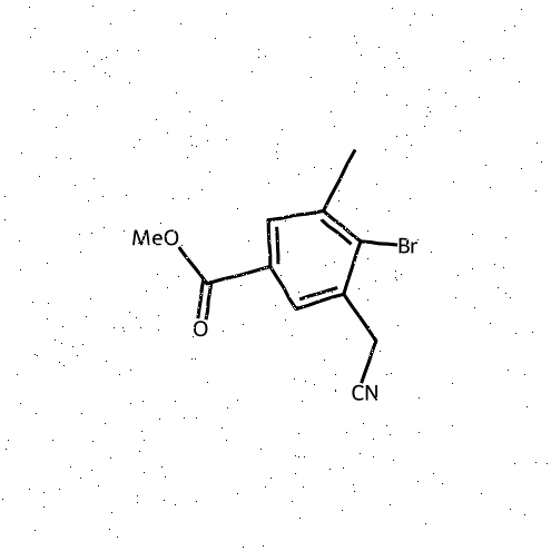 COC(=O)c1cc(C)c(Br)c(CC#N)c1